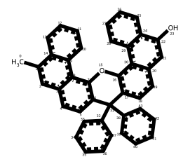 Cc1cc2ccc3c(c2c2ccccc12)Oc1c(ccc2cc(O)c4ccccc4c12)C3(c1ccccc1)c1ccccc1